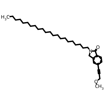 CCCCCCCCCCCCCCCCCCCCCCN1Cc2cc(C#CCOC)ccc2C1=O